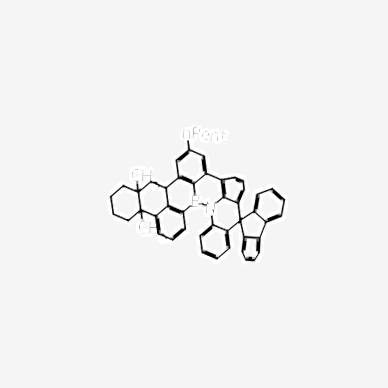 CCCCCc1cc2c3c(c1)C1CC4(C)CCCCC4(C)c4cccc(c41)B3N1c3ccccc3C3(c4ccccc4-c4ccccc43)c3cccc-2c31